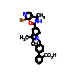 Cc1c(C)n(Cc2ccc(-c3ccccc3C(=O)O)cc2)c2ccc(C(=O)N[C@@H](C)c3ccnc(Br)c3)cc12